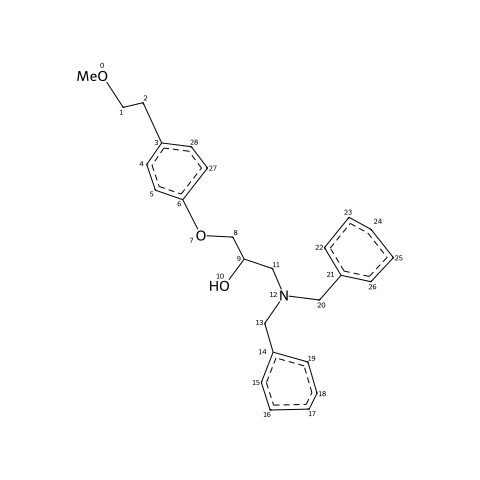 COCCc1ccc(OCC(O)CN(Cc2ccccc2)Cc2ccccc2)cc1